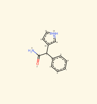 NC(=O)C(c1ccccc1)c1cc[nH]c1